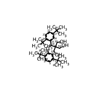 CC(C)(C)c1ccc(C(C)(C)C)c(OC(c2cc(C(C)(C)C)ccc2C(C)(C)C)C(CO)(CO)CO)c1